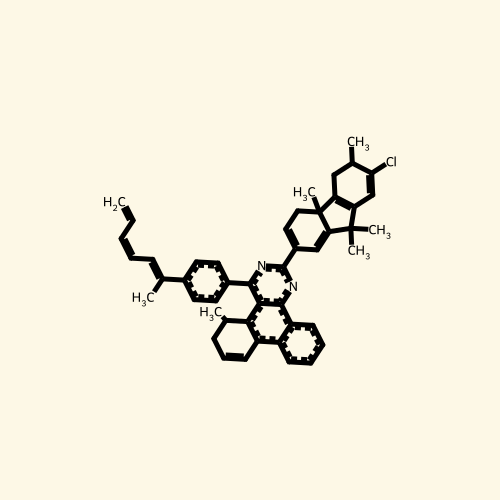 C=C/C=C\C=C(/C)c1ccc(-c2nc(C3=CCC4(C)C(=C3)C(C)(C)C3=C4CC(C)C(Cl)=C3)nc3c2c2c(c4ccccc43)C=CCC2C)cc1